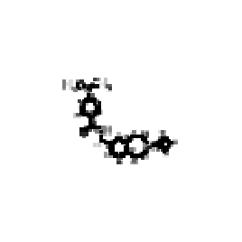 CN(C)c1ncc(C(=O)NCc2ccc3c(c2)CCN(C2=CC=C2)CC3)cn1